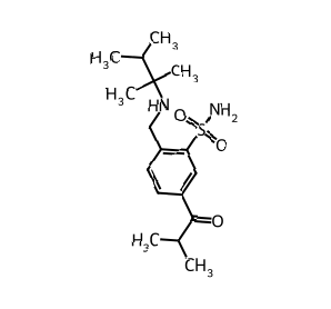 CC(C)C(=O)c1ccc(CNC(C)(C)C(C)C)c(S(N)(=O)=O)c1